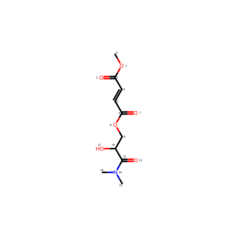 COC(=O)/C=C/C(=O)OCC(O)C(=O)N(C)C